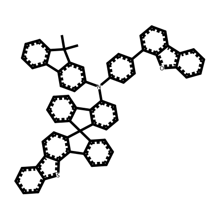 CC1(C)c2ccccc2-c2ccc(N(c3ccc(-c4cccc5c4oc4ccccc45)cc3)c3cccc4c3-c3ccccc3C43c4ccccc4-c4c3ccc3c4sc4ccccc43)cc21